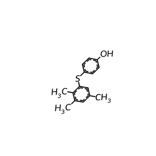 Cc1cc(C)c(C)c(Sc2ccc(O)cc2)c1